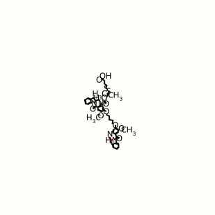 COc1cc2c(cc1OCCCCCOc1cc3c(cc1OC)C(=O)N1c4ccccc4C[C@H]1CN3C(=O)OCC(C)(C)SSCCCC(=O)O)N=C[C@@H]1Cc3ccccc3N1C2=O